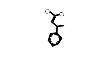 CC(C=C(Cl)Cl)c1ccccc1